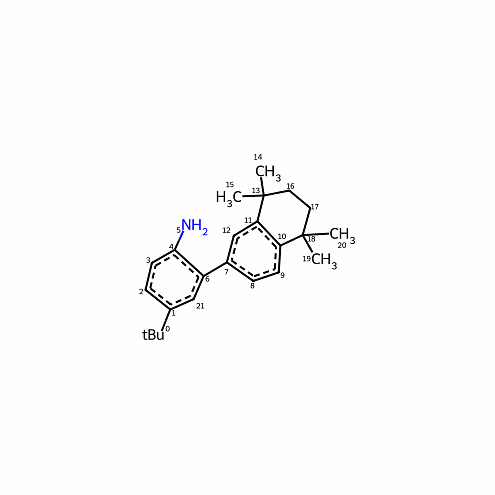 CC(C)(C)c1ccc(N)c(-c2ccc3c(c2)C(C)(C)CCC3(C)C)c1